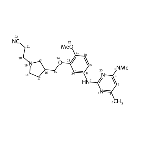 CNc1cc(C)nc(Nc2ccc(OC)c(OCC3CCN(CCC#N)C3)c2)n1